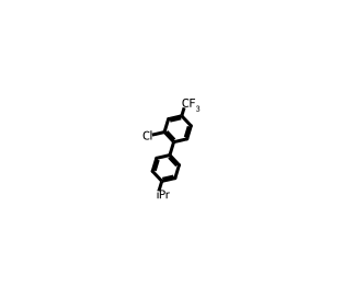 CC(C)c1ccc(-c2ccc(C(F)(F)F)cc2Cl)cc1